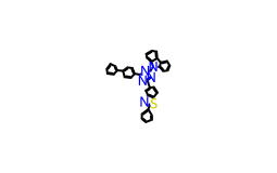 c1ccc(-c2ccc(-c3nc(-c4ccc5sc(-c6ccccc6)nc5c4)nc(-n4c5ccccc5c5ccccc54)n3)cc2)cc1